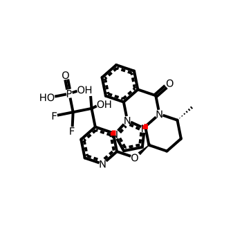 C[C@@H]1CC[C@@H](Oc2cc(C(C)(O)C(F)(F)P(=O)(O)O)ccn2)CN1C(=O)c1ccccc1-n1nccn1